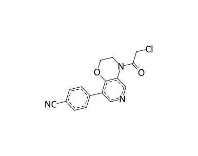 N#Cc1ccc(-c2cncc3c2OCCN3C(=O)CCl)cc1